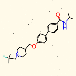 CC(C)NC(=O)c1ccc(-c2ccc(OCC3CCN(CC(C)(C)F)CC3)cc2)cc1